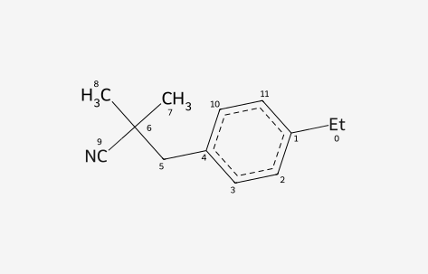 CCc1ccc(CC(C)(C)C#N)cc1